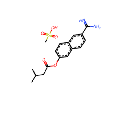 CC(C)CC(=O)Oc1ccc2cc(C(=N)N)ccc2c1.CS(=O)(=O)O